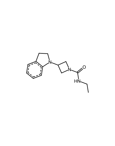 CCNC(=O)N1CC(N2CCc3ccccc32)C1